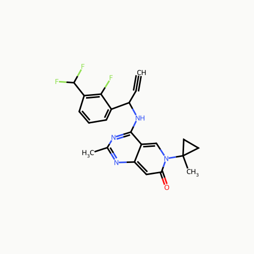 C#CC(Nc1nc(C)nc2cc(=O)n(C3(C)CC3)cc12)c1cccc(C(F)F)c1F